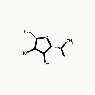 CC(F)[C@H]1O[C@@H](C)C(O)C1O